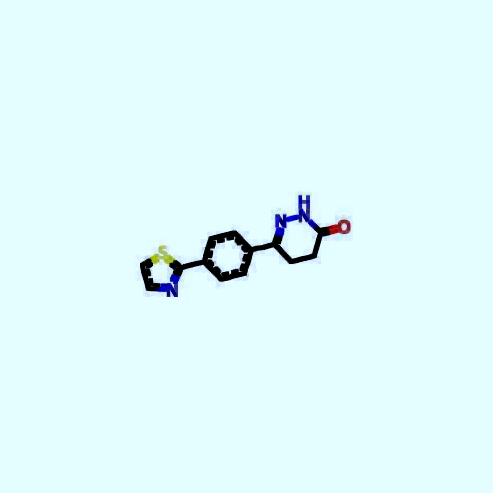 O=C1CCC(c2ccc(-c3nccs3)cc2)=NN1